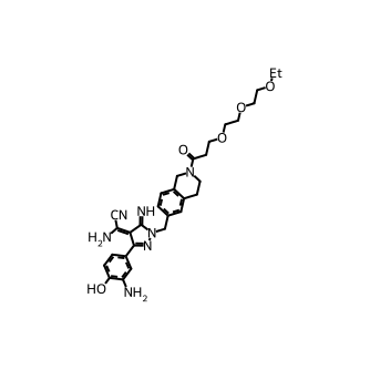 CCOCCOCCOCCC(=O)N1CCc2cc(CN3N=C(c4ccc(O)c(N)c4)/C(=C(\N)C#N)C3=N)ccc2C1